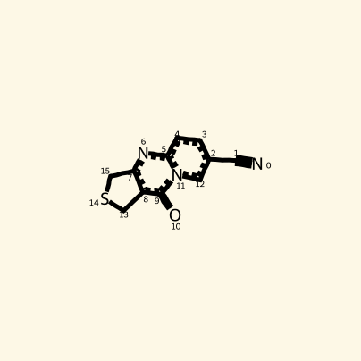 N#Cc1ccc2nc3c(c(=O)n2c1)CSC3